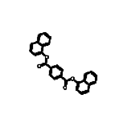 O=C(Oc1cccc2ccccc12)c1ccc(C(=O)Oc2cccc3ccccc23)cc1